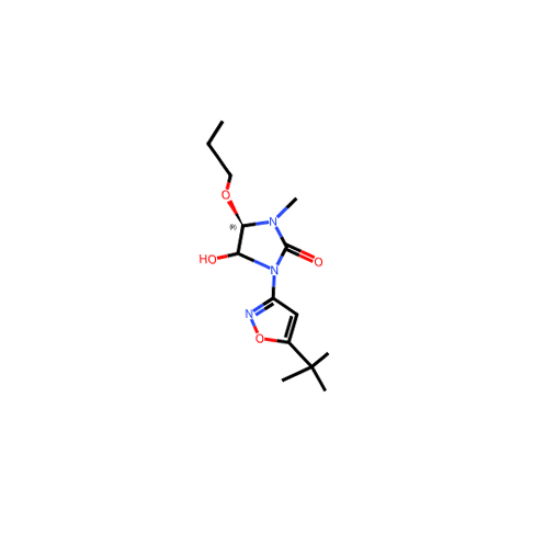 CCCO[C@@H]1C(O)N(c2cc(C(C)(C)C)on2)C(=O)N1C